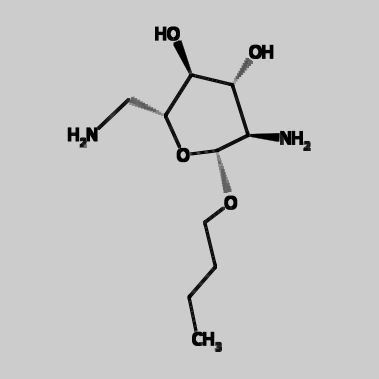 CCCCO[C@@H]1O[C@H](CN)[C@@H](O)[C@H](O)[C@H]1N